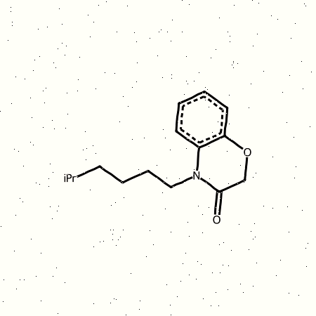 CC(C)CCCCN1C(=O)COc2ccccc21